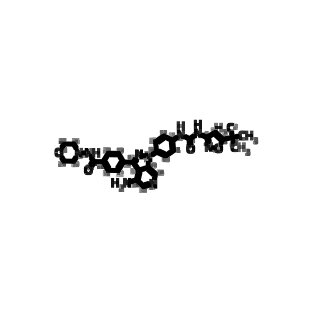 CC(C)(C)c1cc(NC(=O)Nc2ccc(-n3nc(-c4ccc(C(=O)NN5CCOCC5)cc4)c4c(N)cncc43)cc2)no1